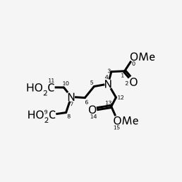 COC(=O)CN(CCN(CC(=O)O)CC(=O)O)CC(=O)OC